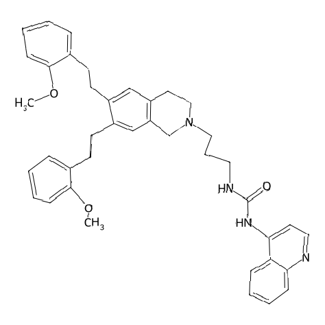 COc1ccccc1CCc1cc2c(cc1CCc1ccccc1OC)CN(CCCNC(=O)Nc1ccnc3ccccc13)CC2